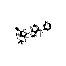 C#C[C@H]1O[C@@H](n2cnc3c(Nc4cccnc4)ncnc32)[C@H]2OC(C)(C)O[C@@H]21